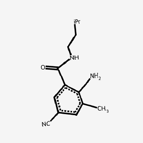 Cc1cc(C#N)cc(C(=O)NCCC(C)C)c1N